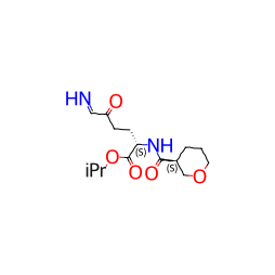 CC(C)OC(=O)[C@H](CCC(=O)C=N)NC(=O)[C@H]1CCCOC1